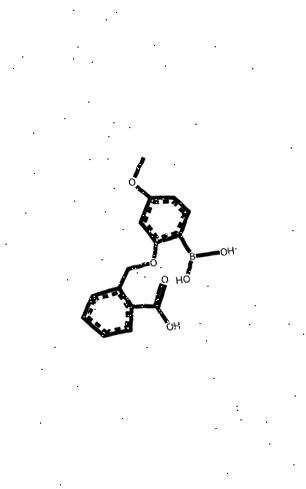 COc1ccc(B(O)O)c(OCc2ccccc2C(=O)O)c1